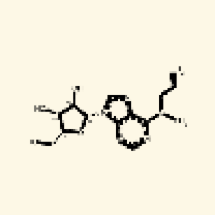 C=CCN(C)c1ncnc2c1ncn2[C@@H]1O[C@H](CO)[C@@H](O)[C@H]1O